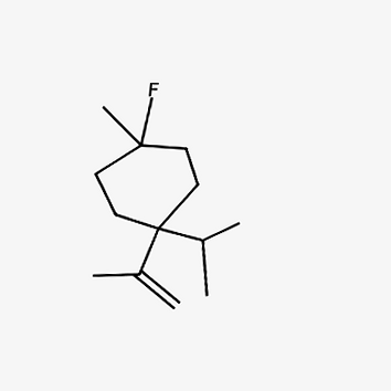 C=C(C)C1(C(C)C)CCC(C)(F)CC1